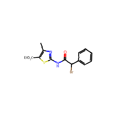 CCOC(=O)c1sc(NC(=O)C(Br)c2ccccc2)nc1C